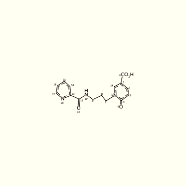 O=C(O)c1ccc(=O)n(CCCNC(=O)c2ccccn2)c1